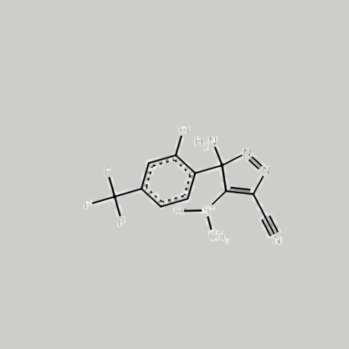 C[S+]([O-])C1=C(C#N)N=NC1(N)c1ccc(C(F)(F)F)cc1Cl